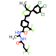 CCC(F)(F)C(/C=C(\F)c1ccc(C(=O)NC(C)NC(=O)CCC(F)(F)F)c(C(F)(F)F)c1)c1cc(Cl)c(Cl)c(Cl)c1